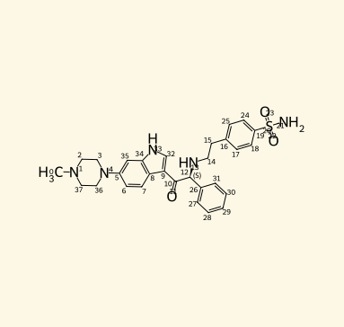 CN1CCN(c2ccc3c(C(=O)[C@@H](NCCc4ccc(S(N)(=O)=O)cc4)c4ccccc4)c[nH]c3c2)CC1